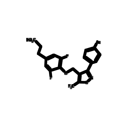 CC(=O)c1ccc(-c2nsc(C(F)(F)F)c2COc2c(F)cc(CCC(=O)O)cc2F)cc1